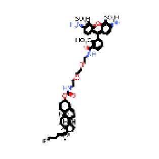 CC(C)CCC[C@@H](C)[C@H]1CC[C@H]2[C@@H]3CC=C4C[C@H](OC(=O)NCCOCCOCCNC(=O)c5cccc(-c6c7ccc(=N)c(S(=O)(=O)O)c-7oc7c(S(=O)(=O)O)c(N)ccc67)c5C(=O)O)CC[C@]4(C)[C@H]3CC[C@]12C